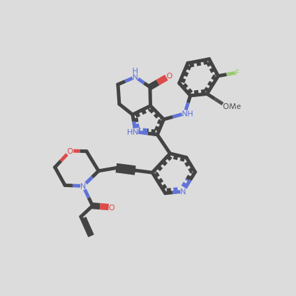 C=CC(=O)N1CCOCC1C#Cc1cnccc1-c1[nH]c2c(c1Nc1cccc(F)c1OC)C(=O)NCC2